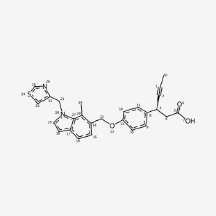 CC#C[C@@H](CC(=O)O)c1ccc(OCc2ccc3ccn(Cc4cscn4)c3c2C)cc1